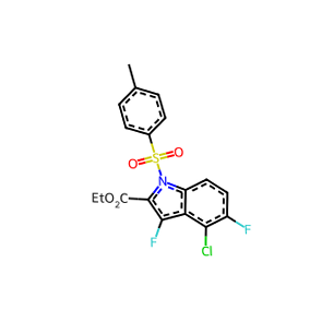 CCOC(=O)c1c(F)c2c(Cl)c(F)ccc2n1S(=O)(=O)c1ccc(C)cc1